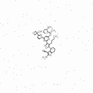 CCCCc1c(-c2nc(O[C@@H](C)[C@@H]3CCCN3C)cc(-n3ccc(C4(O)COC4)n3)n2)noc1[C@H]1CCCc2sc(N)c(C#N)c21